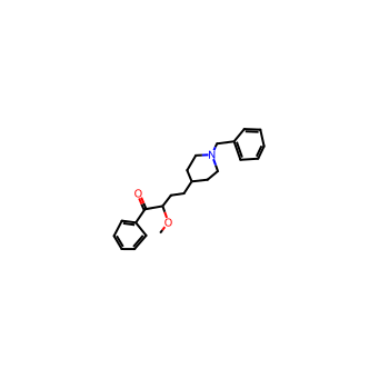 COC(CCC1CCN(Cc2ccccc2)CC1)C(=O)c1ccccc1